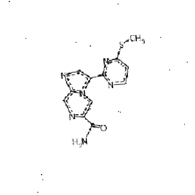 CSc1ccnc(-c2cnc3cnc(C(N)=O)cn23)n1